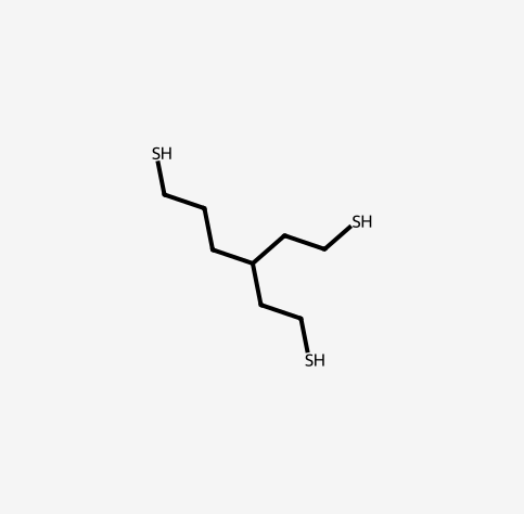 SCCCC(CCS)CCS